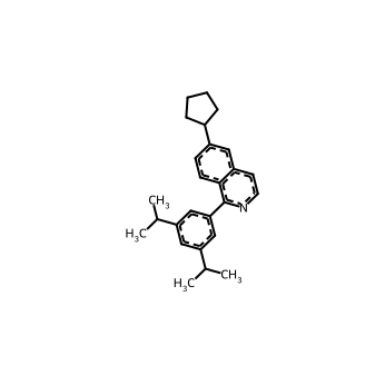 CC(C)c1cc(-c2nccc3cc(C4CCCC4)ccc23)cc(C(C)C)c1